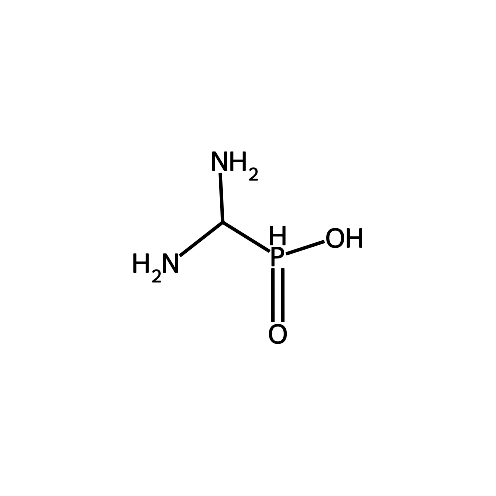 NC(N)[PH](=O)O